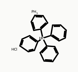 Cl.P.c1ccc([PH](c2ccccc2)(c2ccccc2)c2ccccc2)cc1